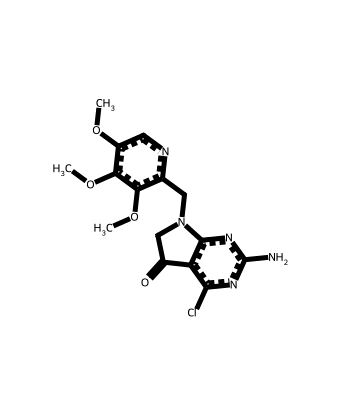 COc1cnc(CN2CC(=O)c3c(Cl)nc(N)nc32)c(OC)c1OC